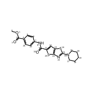 COC(=O)c1ccc(NC(=O)c2cc3sc(N4CCCCC4)nc3s2)cc1